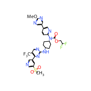 COc1ncc(-c2ccc(N(C(=O)OCC(F)F)[C@H]3CC[C@H](Nc4ncc(C(F)(F)F)c(-c5cncc(S(C)(=O)=O)c5)n4)CC3)nc2)cn1